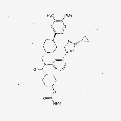 CNC(=O)O[C@H]1CC[C@H](C(=O)N(C[C@H]2CC[C@H](c3cnc(OC)c(C)c3)CC2)c2cccc(-c3cnn(C4CC4)c3)c2)CC1